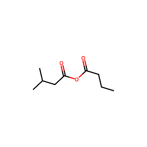 CCCC(=O)OC(=O)CC(C)C